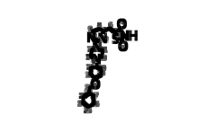 O=C1NC(=O)C(=Cc2ccnc(N3CCN(c4ccc(OCc5ccccc5)cc4)CC3)n2)S1